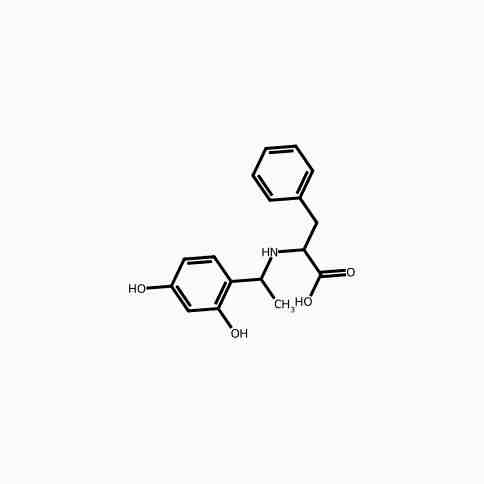 CC(NC(Cc1ccccc1)C(=O)O)c1ccc(O)cc1O